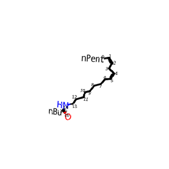 CCCCC/C=C\C/C=C\CCCCCCCCNC(=O)CCCC